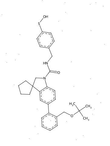 CC(C)(C)OCc1ccccc1-c1ccc2c(c1)C1(CCCC1)CN2C(=O)NCc1ccc(SO)cc1